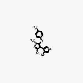 Cc1ccc(Oc2c(-c3c[nH]cc3C#N)c(C(F)(F)F)nn2C)cc1